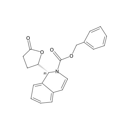 O=C1CCC([C@H]2c3ccccc3C=CN2C(=O)OCc2ccccc2)O1